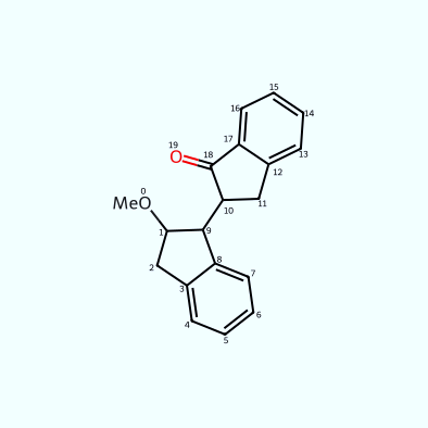 COC1Cc2ccccc2C1C1Cc2ccccc2C1=O